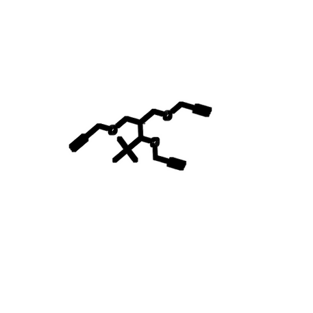 C#CCOC[C](COCC#C)C(OCC#C)C(C)(C)C